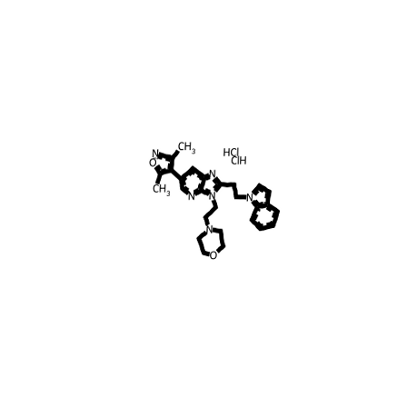 Cc1noc(C)c1-c1cnc2c(c1)nc(CCn1ccc3ccccc31)n2CCN1CCOCC1.Cl.Cl